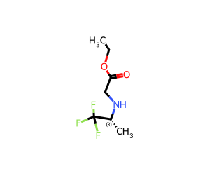 CCOC(=O)CN[C@H](C)C(F)(F)F